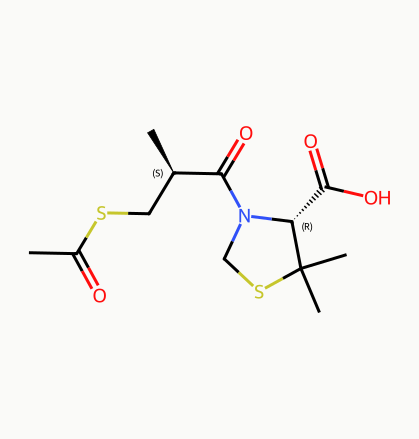 CC(=O)SC[C@@H](C)C(=O)N1CSC(C)(C)[C@H]1C(=O)O